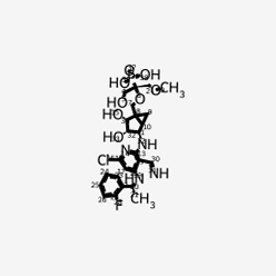 COC[C@](CO)(OCC12CC1[C@@H](Nc1nc(Cl)cc(N[C@@H](C)c3ccccc3F)c1C=N)[C@H](O)[C@@H]2O)P(=O)(O)O